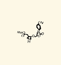 COC(=O)Cc1c[nH]cc1OCC1CN(c2ccc(C#N)cc2)C(=O)O1